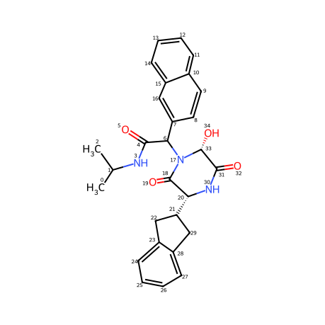 CC(C)NC(=O)C(c1ccc2ccccc2c1)N1C(=O)[C@@H](C2Cc3ccccc3C2)NC(=O)[C@H]1O